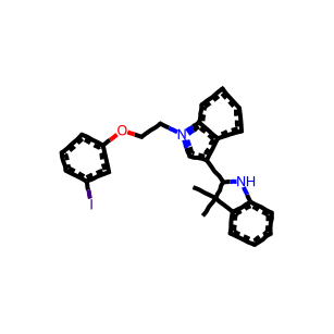 CC1(C)c2ccccc2NC1c1cn(CCOc2cccc(I)c2)c2ccccc12